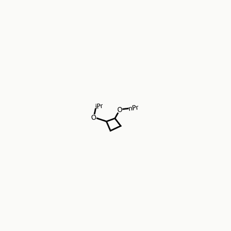 CCCOC1CCC1OC(C)C